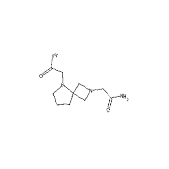 CC(C)C(=O)CN1CCCC12CN(CC(N)=O)C2